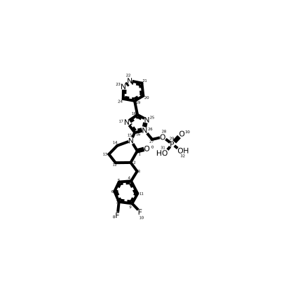 O=C1C(Cc2ccc(F)c(F)c2)CCCN1c1nc(-c2ccnnc2)nn1COP(=O)(O)O